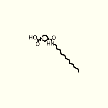 CCCCCCCCCCCCNC(=O)[C@H]1CCN(C(=O)O)C1